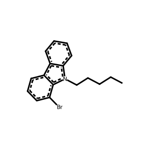 CCCCCn1c2ccccc2c2cccc(Br)c21